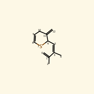 C=C(C)/C(C)=C\C1SC=CCC1=C